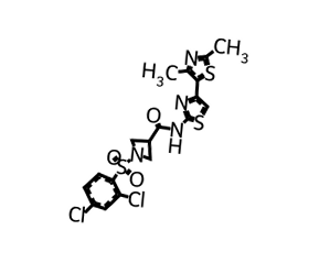 Cc1nc(C)c(-c2csc(NC(=O)C3CN(S(=O)(=O)c4ccc(Cl)cc4Cl)C3)n2)s1